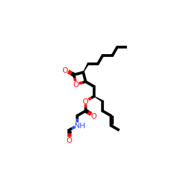 C/C=C/CC[C@H](CC1OC(=O)[C@H]1CCCCCC)OC(=O)CNC=O